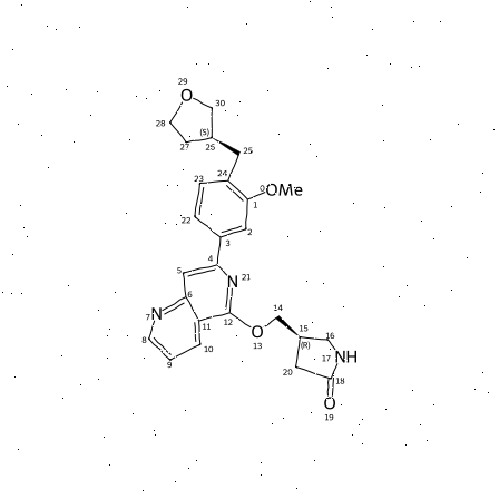 COc1cc(-c2cc3ncccc3c(OC[C@H]3CNC(=O)C3)n2)ccc1C[C@H]1CCOC1